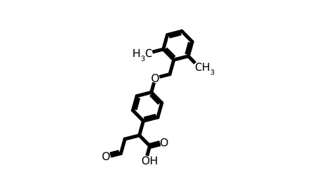 Cc1cccc(C)c1COc1ccc(C(CC=O)C(=O)O)cc1